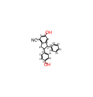 N#Cc1cc(O)cc2c1CC(c1ccc(O)cc1)C2c1ccccc1